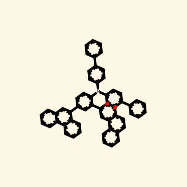 c1ccc(-c2ccc(N(c3ccc(-c4ccccc4)cc3)c3ccc(-c4cc5ccccc5c5ccccc45)cc3-c3ccc4ccc5ccccc5c4c3)cc2)cc1